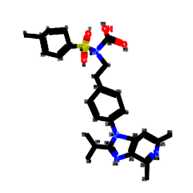 Cc1ccc(S(=O)(=O)N(CCc2ccc(-n3c(C(C)C)nc4c(C)nc(C)cc43)cc2)C(=O)O)cc1